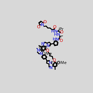 COc1cc(C)c(/N=C\C2CC(c3ccc(N4CCN(C)CC4)cc3)=CN2C=O)cc1OCCCCCOc1cc(/N=C\C2CC(c3cccc(NC(=O)[C@H](C)NC(=O)C(NC(=O)CCCCCN4C(=O)C=CC4=O)C(C)C)c3)=CN2C=O)c(C)cc1OC